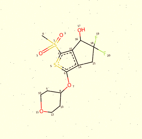 CS(=O)(=O)c1sc(OC2CCOCC2)c2c1C(O)C(F)(F)C2